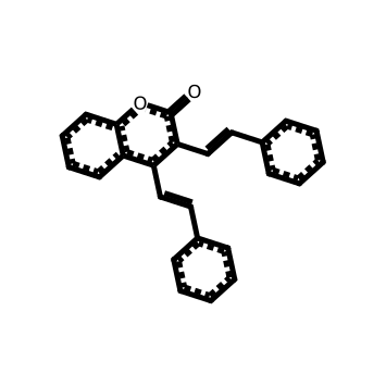 O=c1oc2ccccc2c(C=Cc2ccccc2)c1C=Cc1ccccc1